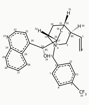 C=C[C@H]1C[N+]2(Cc3ccc(C(F)(F)F)cc3)CC[C@H]1C[C@H]2[C@H](O)c1ccnc2ccccc12